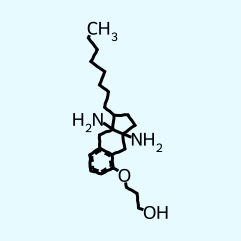 CCCCCCCCC1CCC2(N)Cc3c(cccc3OCCCO)CC12N